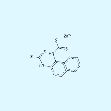 S=C([S-])Nc1ccc2ccccc2c1NC(=S)[S-].[Zn+2]